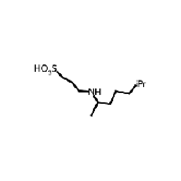 CC(C)CCCC(C)NCCCS(=O)(=O)O